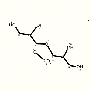 CC(=O)O.OCC(O)COCC(O)CO